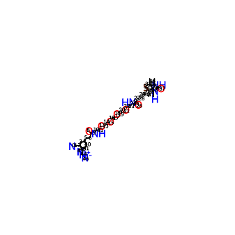 N#Cc1cc(/C=C/C(=O)NCCOCCOCCOCCOCCNC(=O)CCCC[C@@H]2SC[C@@H]3NC(=O)N[C@@H]32)ccc1N=[N+]=[N-]